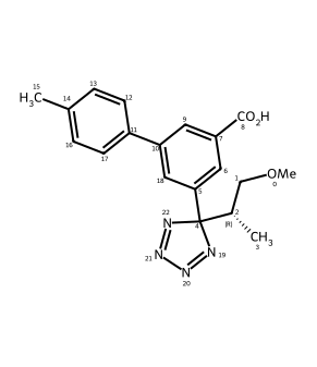 COC[C@H](C)C1(c2cc(C(=O)O)cc(-c3ccc(C)cc3)c2)N=NN=N1